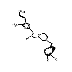 CC(=O)N(C[C@@H]1CN(Cc2ccc(Cl)c(Cl)c2)CCO1)Sc1nc(C)c(/C=C/C(=O)O)s1